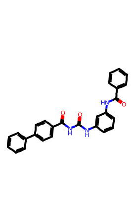 O=C(NC(=O)c1ccc(-c2ccccc2)cc1)Nc1cccc(NC(=O)c2ccccc2)c1